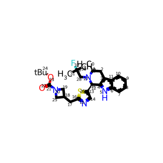 C[C@@H]1Cc2c([nH]c3ccccc23)[C@@H](c2cnc(CC3CN(C(=O)OC(C)(C)C)C3)s2)N1CC(C)(C)F